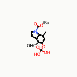 Cc1cc(OC(O)(O)O)c(C=O)c2ccn(C(=O)OC(C)(C)C)c12